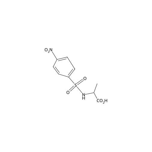 CC(NS(=O)(=O)c1ccc([N+](=O)[O-])cc1)C(=O)O